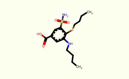 CCCCNc1cc(C(=O)O)cc(S(N)(=O)=O)c1SCCCC